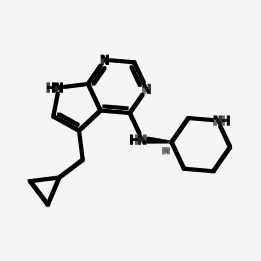 c1nc(N[C@@H]2CCCNC2)c2c(CC3CC3)c[nH]c2n1